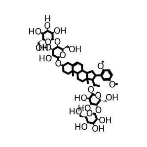 COc1ccc(OC)c(C2CC3C4CC=C5CC(OC6O[C@H](CO)[C@@H](O[C@@H]7O[C@H](CO)C(O)[C@H](O)[C@H]7O)[C@H](O)[C@H]6O)CCC5(C)C4CCC3(C)C2C(C)OC2O[C@H](CO)[C@@H](O[C@@H]3O[C@H](CO)[C@H](O)[C@H](O)[C@H]3O)[C@H](O)[C@H]2O)c1